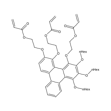 C=CC(=O)OCCOc1ccc2c3ccccc3c3c(OCCCCCC)c(OCCCCCC)c(OCCCCCC)c(OCCOC(=O)C=C)c3c2c1OCCOC(=O)C=C